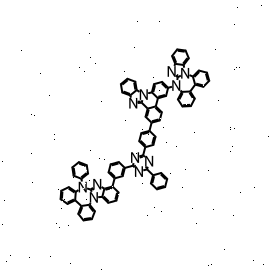 c1ccc(-c2nc(-c3ccc(-c4ccc5c6cc(N7c8ccccc8-c8ccccc8-n8c7nc7ccccc78)ccc6n6c7ccccc7nc6c5c4)cc3)nc(-c3cccc(-c4cccc5c4nc4n5-c5ccccc5-c5ccccc5N4c4ccccc4)c3)n2)cc1